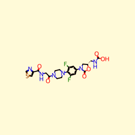 O=C(O)NC[C@H]1CN(c2cc(F)c(N3CCN(C(=O)CNC(=O)c4cscn4)CC3)c(F)c2)C(=O)O1